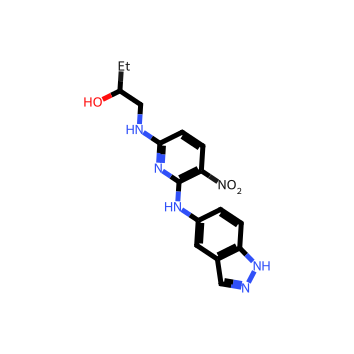 CCC(O)CNc1ccc([N+](=O)[O-])c(Nc2ccc3[nH]ncc3c2)n1